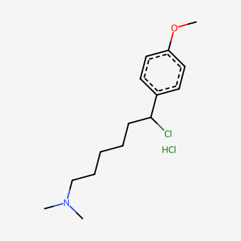 COc1ccc(C(Cl)CCCCCN(C)C)cc1.Cl